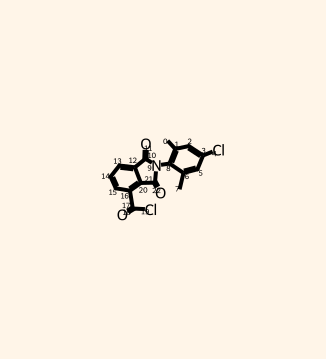 Cc1cc(Cl)cc(C)c1N1C(=O)c2cccc(C(=O)Cl)c2C1=O